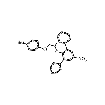 CCC(C)c1ccc(OCC(C)Oc2c(-c3ccccc3)cc([N+](=O)[O-])cc2-c2ccccc2)cc1